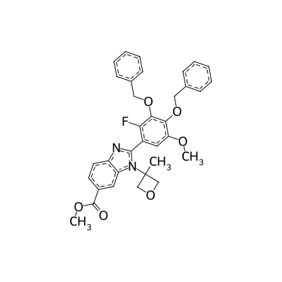 COC(=O)c1ccc2nc(-c3cc(OC)c(OCc4ccccc4)c(OCc4ccccc4)c3F)n(C3(C)COC3)c2c1